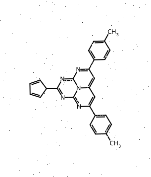 Cc1ccc(C2=CC3=CC(c4ccc(C)cc4)=NC4=NC(C5C=CC=C5)=NC(=N2)N34)cc1